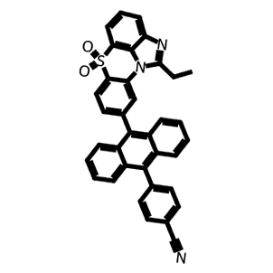 CCc1nc2cccc3c2n1-c1cc(-c2c4ccccc4c(-c4ccc(C#N)cc4)c4ccccc24)ccc1S3(=O)=O